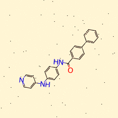 O=C(Nc1ccc(Nc2ccncc2)cc1)c1ccc(-c2ccccc2)cc1